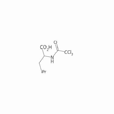 CC(C)CC(NC(=O)C(Cl)(Cl)Cl)C(=O)O